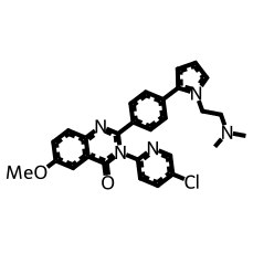 COc1ccc2nc(-c3ccc(-c4cccn4CCN(C)C)cc3)n(-c3ccc(Cl)cn3)c(=O)c2c1